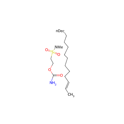 CC=CCCCCCCCCCCCCCCCCCC.CNS(=O)(=O)CCOC(N)=O